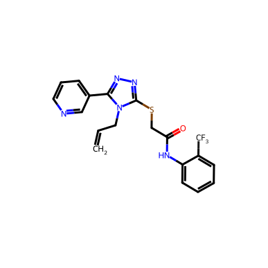 C=CCn1c(SCC(=O)Nc2ccccc2C(F)(F)F)nnc1-c1cccnc1